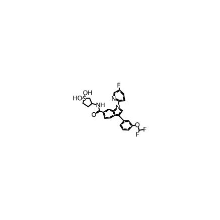 O=C(NC1CCS(O)(O)C1)c1ccc2c(-c3cccc(OC(F)F)c3)cn(-c3ccc(F)cn3)c2c1